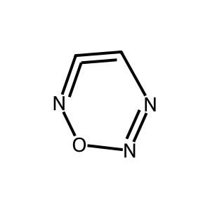 C1=CN=NON=1